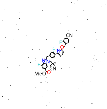 COC(=O)c1cc(F)c2nc(Cc3ccc(-c4cccc(OCc5ccc(C#N)cc5F)n4)c(F)c3)n(CC3(CC#N)CC3)c2c1